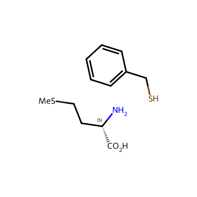 CSCC[C@H](N)C(=O)O.SCc1ccccc1